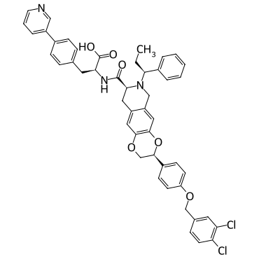 CC[C@@H](c1ccccc1)N1Cc2cc3c(cc2C[C@H]1C(=O)N[C@@H](Cc1ccc(-c2cccnc2)cc1)C(=O)O)OC[C@H](c1ccc(OCc2ccc(Cl)c(Cl)c2)cc1)O3